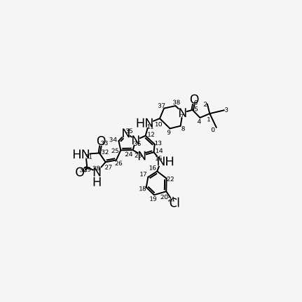 CC(C)(C)CC(=O)N1CCC(Nc2cc(Nc3cccc(Cl)c3)nc3c(C=C4NC(=O)NC4=O)cnn23)CC1